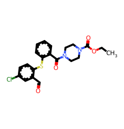 CCOC(=O)N1CCN(C(=O)c2ccccc2Sc2ccc(Cl)cc2C=O)CC1